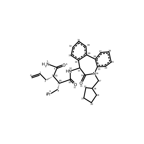 C=CC[C@H](C(N)=O)[C@@H](CC(C)C)C(=O)NC1C(=O)N(CC2CCCC2)c2ccccc2-c2ccccc21